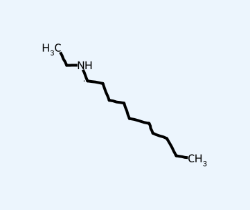 CCCCCCCCC[CH]NCC